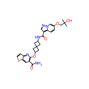 CC(C)(O)COc1ccc2c(C(=O)NC3CC4(C3)CC(Oc3nc5ccsc5cc3C(N)=O)C4)cnn2c1